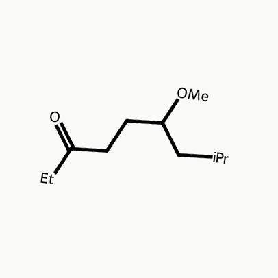 CCC(=O)CCC(CC(C)C)OC